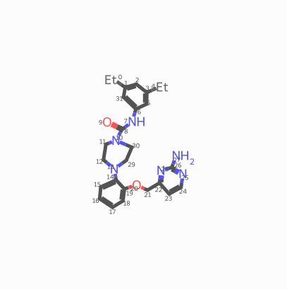 CCc1cc(CC)cc(NC(=O)N2CCN(c3ccccc3OCc3ccnc(N)n3)CC2)c1